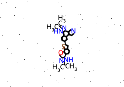 CC(C)c1nc2c([nH]1)-c1ccc3cc(-c4ccc5c(c4)c4ccncc4c4nc(C(C)C)[nH]c54)sc3c1OC2